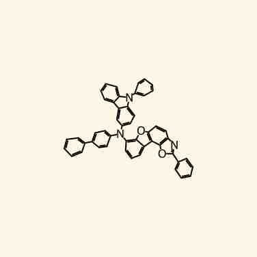 c1ccc(-c2ccc(N(c3ccc4c(c3)c3ccccc3n4-c3ccccc3)c3cccc4c3oc3ccc5nc(-c6ccccc6)oc5c34)cc2)cc1